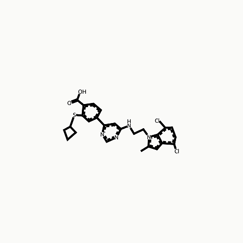 Cc1cc2c(Cl)ccc(Cl)c2n1CCNc1cc(-c2ccc(C(=O)O)c(SC3CCC3)c2)ncn1